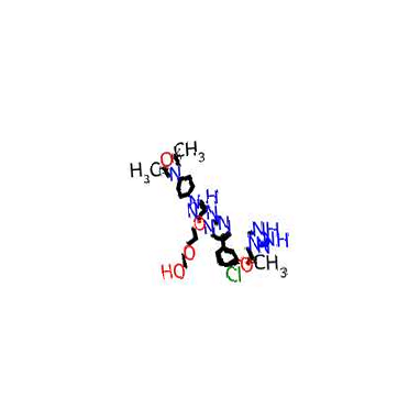 C[C@@H]1CN([C@H]2CC[C@H](n3cc(Nc4ncc(-c5ccc(Cl)c(O[C@@H](C)CN(C=N)N=N)c5)cn4)c(OCCCOCCO)n3)CC2)C[C@H](C)O1